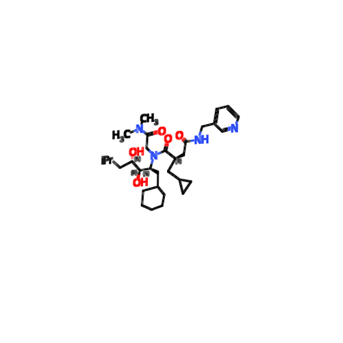 CC(C)C[C@H](O)[C@H](O)[C@H](CC1CCCCC1)N(CC(=O)N(C)C)C(=O)[C@@H](CC(=O)NCc1cccnc1)CC1CC1